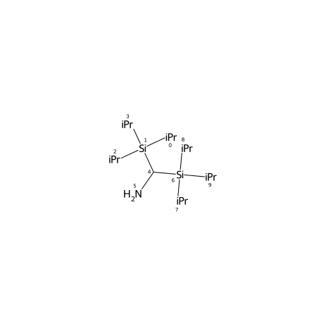 CC(C)[Si](C(C)C)(C(C)C)C(N)[Si](C(C)C)(C(C)C)C(C)C